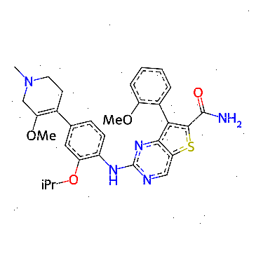 COC1=C(c2ccc(Nc3ncc4sc(C(N)=O)c(-c5ccccc5OC)c4n3)c(OC(C)C)c2)CCN(C)C1